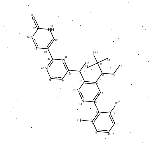 CCC(c1cc(-c2c(F)cccc2F)nnc1C(C)c1ccnc(-c2cnc(=O)[nH]c2)n1)C(C)(C)C